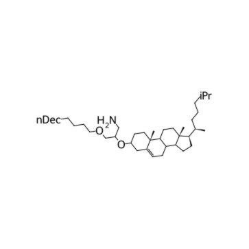 CCCCCCCCCCCCCCOCC(CN)OC1CC[C@@]2(C)C(=CCC3C2CC[C@@]2(C)C3CC[C@@H]2[C@H](C)CCCC(C)C)C1